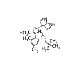 Cc1cc(C(F)(F)F)ccc1-c1c(C(=O)O)cc(-c2ccnc3[nH]ccc23)n1COCC[Si](C)(C)C